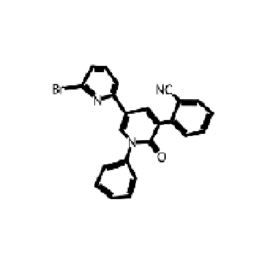 N#Cc1ccccc1-c1cc(-c2cccc(Br)n2)cn(-c2ccccc2)c1=O